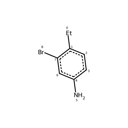 CCc1ccc(N)cc1Br